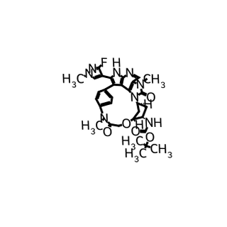 CN1C(=O)CO[C@@H]2C[C@H](C[C@@H]2NC(=O)OC(C)(C)C)n2c(=O)n(C)c3cnc4[nH]c(-c5cn(C)nc5F)c(c4c32)-c2ccc1cc2